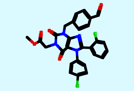 COC(=O)Cn1c(=O)c2c(nc(-c3ccccc3Cl)n2-c2ccc(Cl)cc2)n(Cc2ccc(C=O)cc2)c1=O